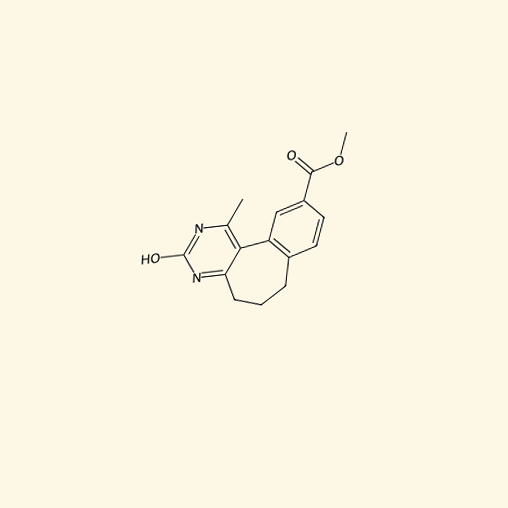 COC(=O)c1ccc2c(c1)-c1c(C)nc(O)nc1CCC2